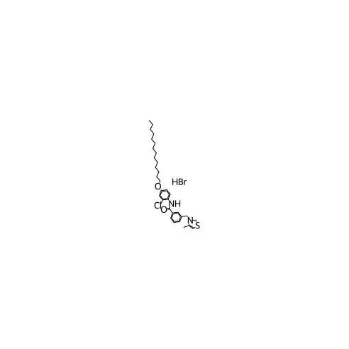 Br.CCCCCCCCCCCCCCOc1ccc(NC(=O)c2cccc(CN3CSC=C3C)c2)c(Cl)c1